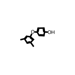 Cc1cc(C)cc(Oc2ccc(O)cc2)c1